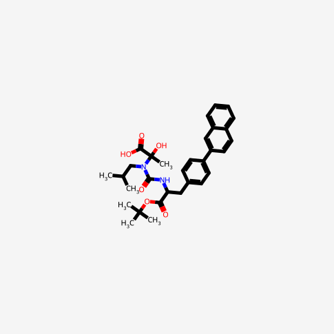 CC(C)CN(C(=O)NC(Cc1ccc(-c2ccc3ccccc3c2)cc1)C(=O)OC(C)(C)C)C(C)(O)C(=O)O